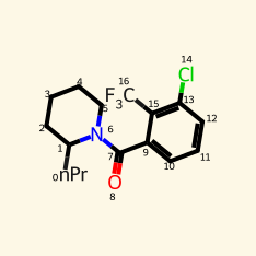 CCCC1CCCCN1C(=O)c1cccc(Cl)c1C(F)(F)F